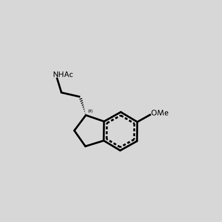 COc1ccc2c(c1)[C@@H](CCNC(C)=O)CC2